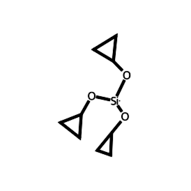 C1CC1O[Si](OC1CC1)OC1CC1